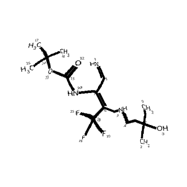 CC(C)(O)CN/C(=C(\C=N)NC(=O)OC(C)(C)C)C(F)(F)F